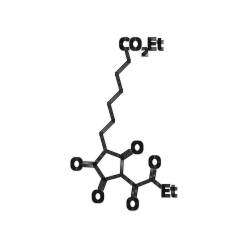 CCOC(=O)CCCCCCC1C(=O)C(=O)C(C(=O)C(=O)CC)C1=O